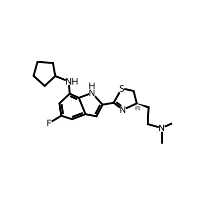 CN(C)CC[C@@H]1CSC(c2cc3cc(F)cc(NC4CCCC4)c3[nH]2)=N1